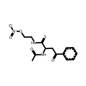 CC(=O)NC(CC(=O)c1ccccc1)C(=S)NCCO[N+](=O)[O-]